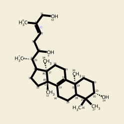 C/C(=C\CC(O)[C@@H](C)C1CC[C@@]2(C)C3=C(CC[C@]12C)[C@@]1(C)CC[C@H](O)C(C)(C)C1CC3)CO